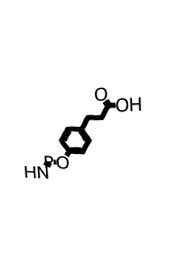 N=POc1ccc(CCC(=O)O)cc1